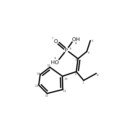 CCC(=C(CC)P(=O)(O)O)c1ccccc1